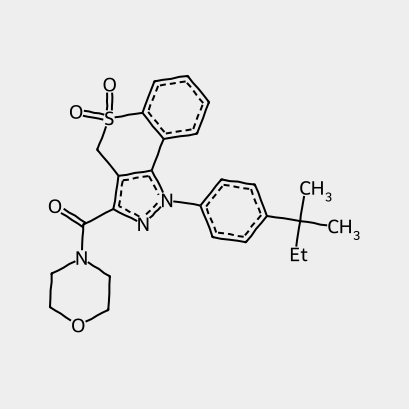 CCC(C)(C)c1ccc(-n2nc(C(=O)N3CCOCC3)c3c2-c2ccccc2S(=O)(=O)C3)cc1